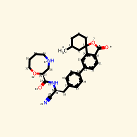 CC1CCCC2(C1)OC(=O)c1ccc(-c3ccc(C[C@@H](C#N)NC(=O)[C@@H]4CNCCCCO4)cc3)cc12